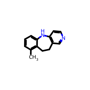 Cc1cccc2c1CCc1cnccc1N2